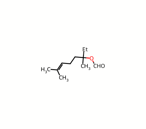 CCC(C)(CCC=C(C)C)OC=O